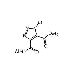 CCn1nnc(C(=O)OC)c1C(=O)OC